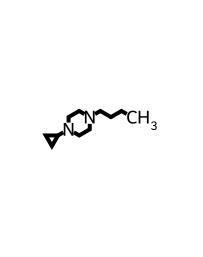 CCCCN1CCN(C2CC2)CC1